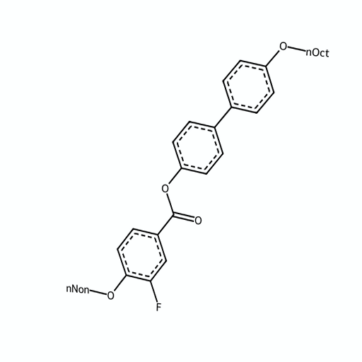 CCCCCCCCCOc1ccc(C(=O)Oc2ccc(-c3ccc(OCCCCCCCC)cc3)cc2)cc1F